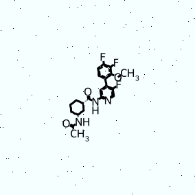 COc1c(-c2cc(NC(=O)[C@H]3CCC[C@@H](NC(C)=O)C3)ncc2F)ccc(F)c1F